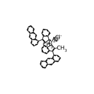 CC1=C(c2cccc3cc4ccccc4cc23)c2ccccc2[CH]1[Zr+2]1([CH]2C(C)=C(c3cccc4cc5ccccc5cc34)c3ccccc32)[CH2][CH2]1.[Cl-].[Cl-]